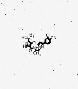 CC(O)c1n[nH]c(C(=O)N[C@@H](C)Cn2ccc(-c3ccc(C#N)c(Cl)c3)n2)c1Cl